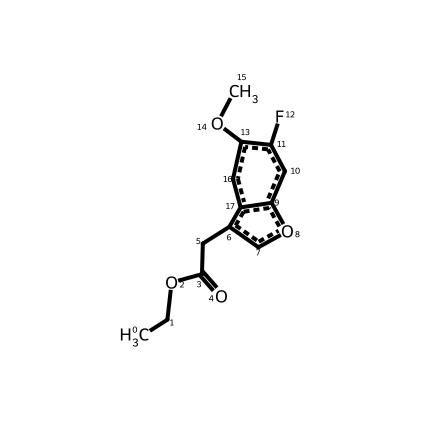 CCOC(=O)Cc1coc2cc(F)c(OC)cc12